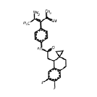 CC(=N)/C(=C(/C)N)c1ccc(NC(=O)CC2c3cc(F)c(F)cc3CCC23CC3)cc1